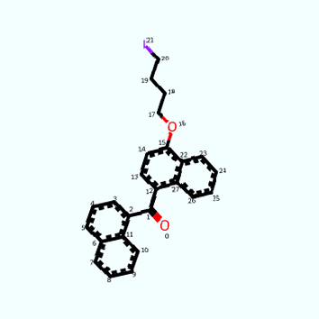 O=C(c1cccc2ccccc12)c1ccc(OCCCCI)c2ccccc12